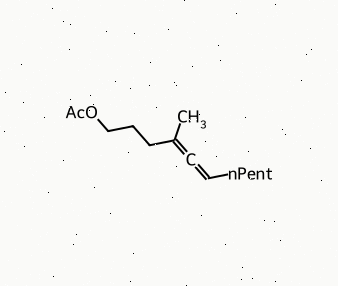 CCCCCC=C=C(C)CCCOC(C)=O